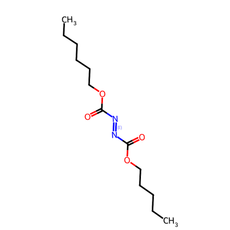 CCCCCCOC(=O)/N=N/C(=O)OCCCCC